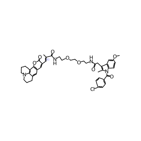 COc1ccc2c(c1)c(CC(=O)NCCOCCOCCNC(=O)/C(C)=C/c1cc3cc4c5c(c3oc1=O)CCCN5CCC4)c(C)n2C(=O)c1ccc(Cl)cc1